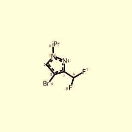 CC(C)n1cc(Br)c(C(F)F)n1